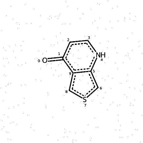 O=c1cc[nH]c2cscc12